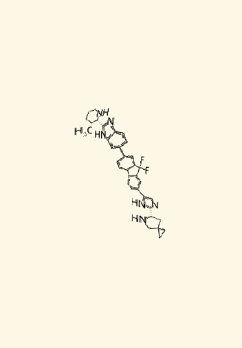 C[C@@H]1CCCN[C@@H]1c1nc2ccc(-c3ccc4c(c3)C(F)(F)c3cc(-c5cnc([C@@H]6CC7(CC7)CN6)[nH]5)ccc3-4)cc2[nH]1